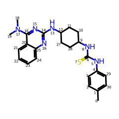 Cc1ccc(NC(=S)NC2CCC(Nc3nc(N(C)C)c4ccccc4n3)CC2)cc1